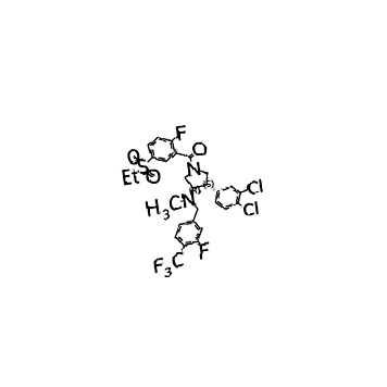 CCS(=O)(=O)c1ccc(F)c(C(=O)N2C[C@H](c3ccc(Cl)c(Cl)c3)[C@@H](N(C)Cc3ccc(C(F)(F)F)c(F)c3)C2)c1